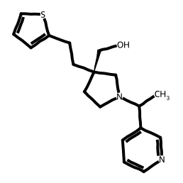 CC(c1cccnc1)N1CC[C@](CO)(CCc2cccs2)C1